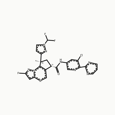 C[C@]1(c2ccn(C(F)F)n2)C[C@H](C(=O)Nc2cnc(-c3ncccn3)c(Cl)c2)c2cnc3cc(F)nn3c21